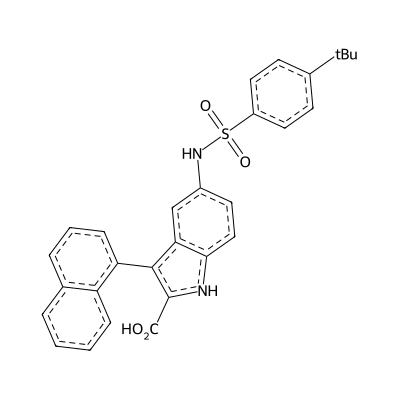 CC(C)(C)c1ccc(S(=O)(=O)Nc2ccc3[nH]c(C(=O)O)c(-c4cccc5ccccc45)c3c2)cc1